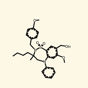 CCCCC1(C)CN(c2ccccc2)c2cc(OC)c(CO)cc2S(=O)(=O)N1Cc1ccc(OC)cc1